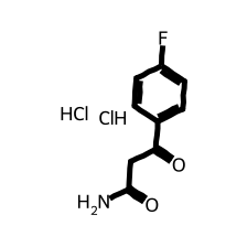 Cl.Cl.NC(=O)CC(=O)c1ccc(F)cc1